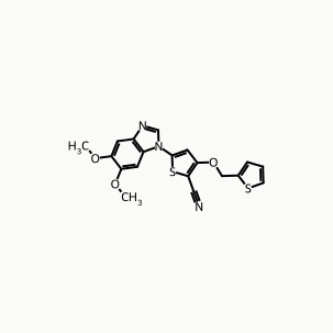 COc1cc2ncn(-c3cc(OCc4cccs4)c(C#N)s3)c2cc1OC